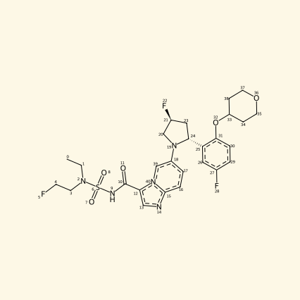 CCN(CCF)S(=O)(=O)NC(=O)c1cnc2ccc(N3C[C@@H](F)C[C@@H]3c3cc(F)ccc3OC3CCOCC3)cn12